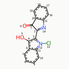 O=C1C(c2c(O)c3ccccc3n2Cl)=Nc2ccccc21